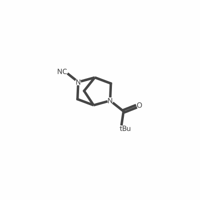 CC(C)(C)C(=O)N1CC2CC1CN2C#N